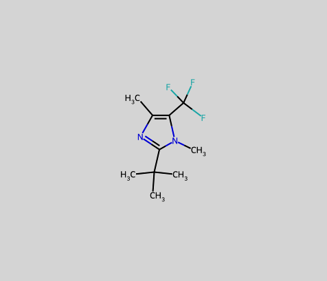 Cc1nc(C(C)(C)C)n(C)c1C(F)(F)F